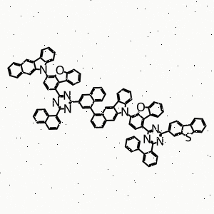 c1ccc(-c2ccccc2-c2nc(-c3ccc4c(c3)sc3ccccc34)nc(-c3ccc(-n4c5ccccc5c5cc6c(-c7cc(-c8nc(-c9cccc%10ccccc9%10)nc(-c9ccc(-n%10c%11ccccc%11c%11cc%12ccccc%12cc%11%10)c%10oc%11ccccc%11c9%10)n8)cc8ccccc78)cccc6cc54)c4oc5ccccc5c34)n2)cc1